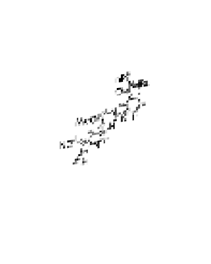 CCCN(C(=O)c1cccc(Nc2ncc(OC)c(-c3cnn(C(CC#N)C4CC4)c3)n2)c1)[C@H](C)CC